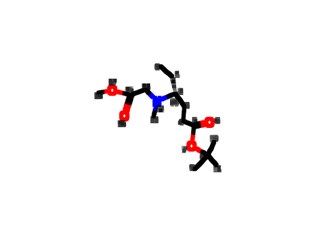 CC[C@H](CCC(=O)OC(C)(C)C)N(C)CC(=O)OC